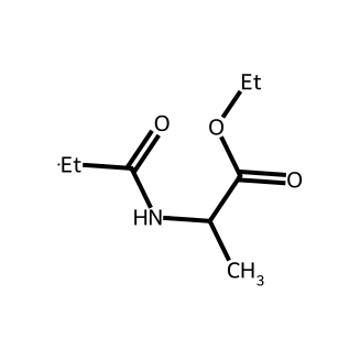 C[CH]C(=O)NC(C)C(=O)OCC